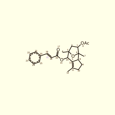 CC(=O)OC1CC2(C)OC1(C)C1CCC(C)=C1C2OC(=O)/C=C/c1ccccc1